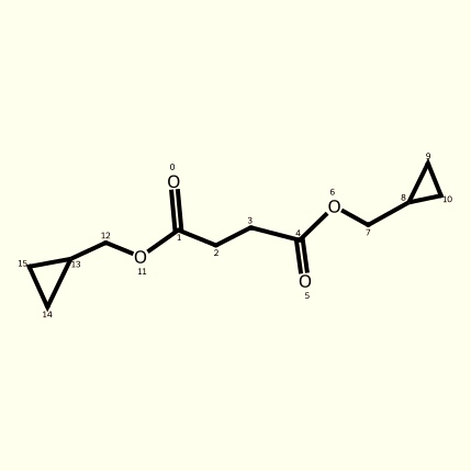 O=C(CCC(=O)OCC1CC1)OCC1CC1